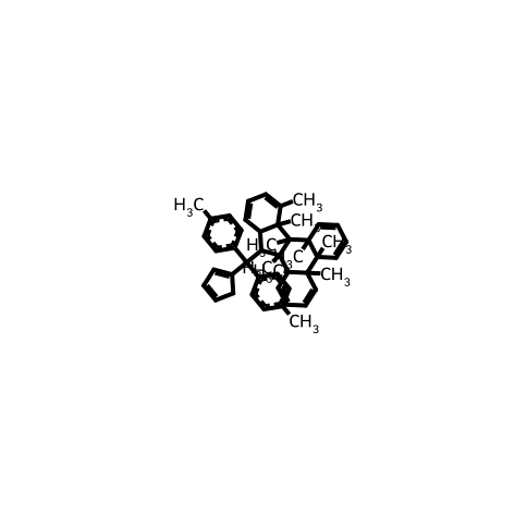 CC1=CC=CC2C(C(C3=CC=CC3)(c3ccc(C)cc3)c3ccc(C)cc3)C3(C)C4(C)C=CC=CC4(C)C4(C)C=CC=CC4(C)C3(C)C12C